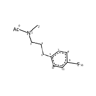 CC(=O)N(C)CCCc1ccc(F)cc1